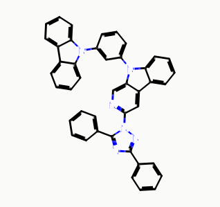 c1ccc(-c2nc(-c3ccccc3)n(-c3cc4c5ccccc5n(-c5cccc(-n6c7ccccc7c7ccccc76)c5)c4cn3)n2)cc1